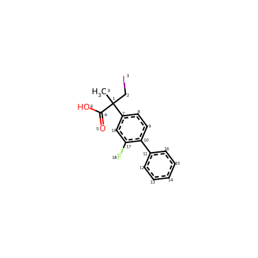 CC(CI)(C(=O)O)c1ccc(-c2ccccc2)c(F)c1